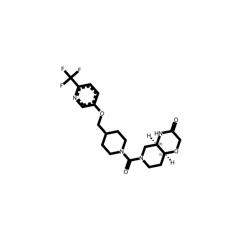 O=C1CO[C@H]2CCN(C(=O)N3CCC(COc4ccc(C(F)(F)F)nc4)CC3)C[C@H]2N1